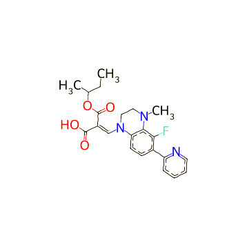 CCC(C)OC(=O)C(=CN1CCN(C)c2c1ccc(-c1ccccn1)c2F)C(=O)O